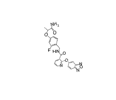 CC(Oc1ccc(CNC(=O)c2cccnc2Oc2ccc3nonc3c2)c(F)c1)C(N)=O